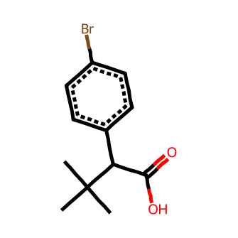 CC(C)(C)C(C(=O)O)c1ccc(Br)cc1